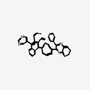 C=Cc1c(/C=C\C)c(-c2cncnc2)c2ccccc2c1C1=CC=C(c2nc3c(nc2-c2ccccc2)=CCCC=3)C=CC1